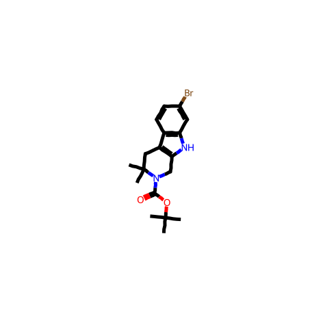 CC(C)(C)OC(=O)N1Cc2[nH]c3cc(Br)ccc3c2CC1(C)C